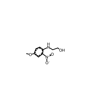 COc1ccc(NCCO)c([N+](=O)[O-])c1